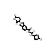 O=C1CCC(N2Cc3ccc(C(=O)NC(=O)Nc4ccc(Cl)nc4)cc3C2)C(=O)N1